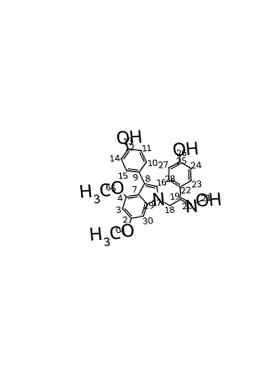 COc1cc(OC)c2c(-c3ccc(O)cc3)cn(C/C(=N/O)c3ccc(O)cc3)c2c1